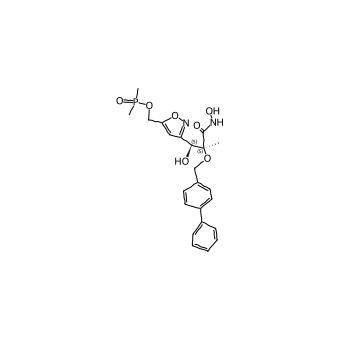 C[C@@](OCc1ccc(-c2ccccc2)cc1)(C(=O)NO)[C@@H](O)c1cc(COP(C)(C)=O)on1